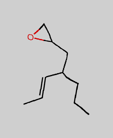 CC=CC(CCC)CC1CO1